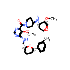 COc1c(NC[C@H]2CCC[C@@H](c3cccc(C)c3)O2)ncnc1C(=O)N1CCC(N[C@H]2CCOC[C@H]2OC)CC1